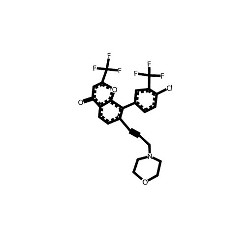 O=c1cc(C(F)(F)F)oc2c(-c3ccc(Cl)c(C(F)(F)F)c3)c(C#CCN3CCOCC3)ccc12